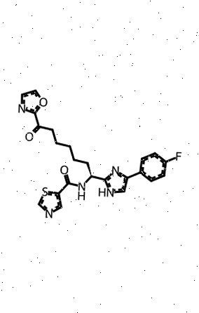 O=C(CCCCC[C@H](NC(=O)c1cncs1)c1nc(-c2ccc(F)cc2)c[nH]1)c1ncco1